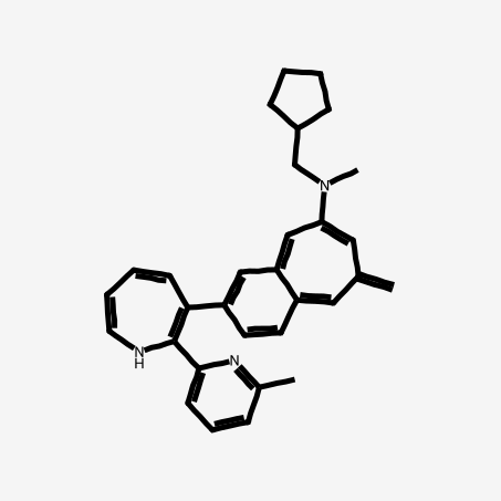 C=C1C=C(N(C)CC2CCCC2)C=c2cc(C3=C(c4cccc(C)n4)NC=CC=C3)ccc2=C1